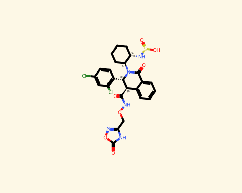 O=C(NOCc1noc(=O)[nH]1)[C@@H]1c2ccccc2C(=O)N([C@H]2CCCC[C@@H]2NS(=O)O)[C@H]1c1ccc(Cl)cc1Cl